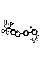 COC(=O)/C(C)=C(\c1ccc2ccc(-c3ccc(-c4cc(OC)ccc4F)cc3)nc2c1)C1CC1